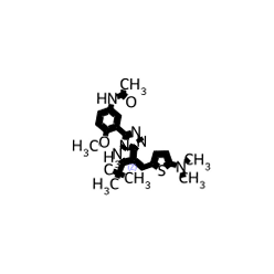 COc1ccc(NC(C)=O)cc1-c1nnc2/c(=C\c3ccc(N(C)C)s3)c(C(C)(C)C)nn12